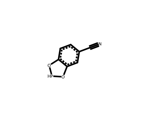 N#Cc1ccc2c(c1)OPO2